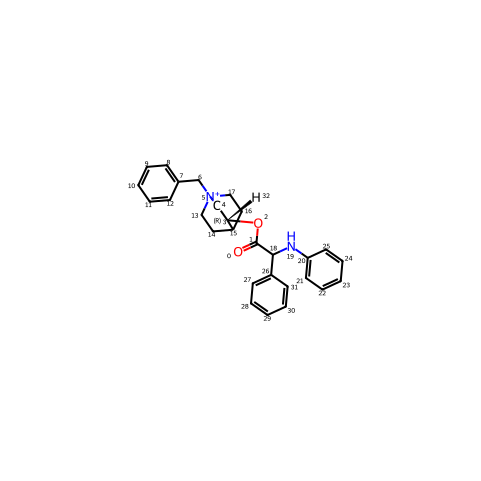 O=C(O[C@H]1C[N+]2(Cc3ccccc3)CCC1CC2)C(Nc1ccccc1)c1ccccc1